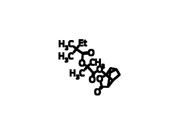 CCC(C)(C)C(=O)OC(C)(C)C(=O)OC12CC3CC(C(=O)O1)C2C3